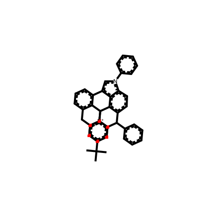 CC(C)(C)c1cc[n+]2c(c1)Cc1cccc3c1C21c2ccccc2C(c2ccccc2)c2ccc4c(c-3cn4-c3ccccc3)c21